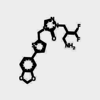 NCC(Cn1ncn(Cc2ccc(-c3ccc4c(c3)OCO4)s2)c1=O)=C(F)F